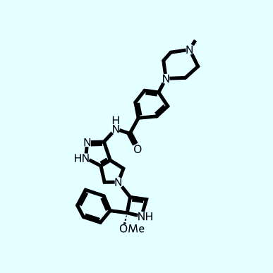 CO[C@@]1(c2ccccc2)NC=C1N1Cc2[nH]nc(NC(=O)c3ccc(N4CCN(C)CC4)cc3)c2C1